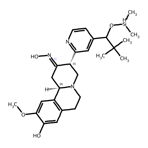 COc1cc2c(cc1O)CCN1C[C@@H](c3cc(C(O[SiH](C)C)C(C)(C)C)ccn3)/C(=N/O)C[C@H]21